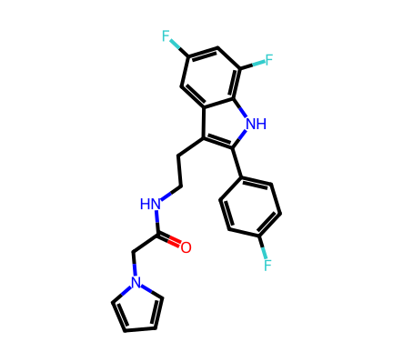 O=C(Cn1cccc1)NCCc1c(-c2ccc(F)cc2)[nH]c2c(F)cc(F)cc12